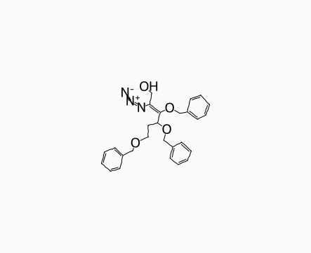 [N-]=[N+]=N/C(CO)=C(/OCc1ccccc1)C(CCOCc1ccccc1)OCc1ccccc1